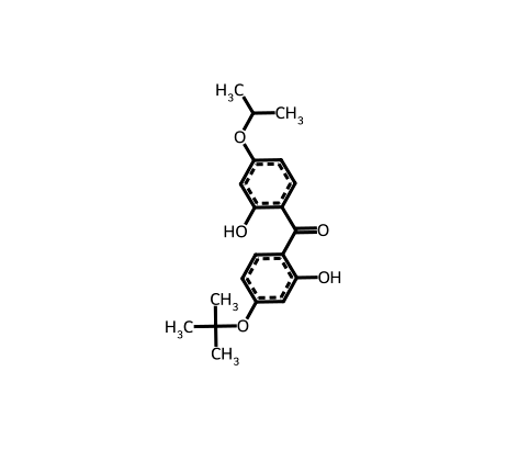 CC(C)Oc1ccc(C(=O)c2ccc(OC(C)(C)C)cc2O)c(O)c1